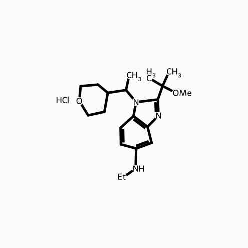 CCNc1ccc2c(c1)nc(C(C)(C)OC)n2C(C)C1CCOCC1.Cl